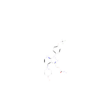 NC(=O)OCc1nn(-c2ccc(OC(F)(F)F)cc2)c2nccc(N3CCC(O)CC3)c12